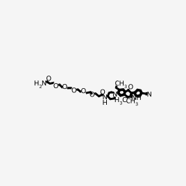 CCc1cc2c(cc1N1CCC(NC(=O)CCOCCOCCOCCOCCOCCC(N)=O)CC1)C(C)(C)c1[nH]c3cc(C#N)ccc3c1C2=O